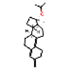 C=C1C=C2CC[C@@H]3C(=C2CC1)CC[C@]1(C)[C@@H](OC(C)C)CC[C@@H]31